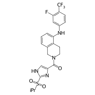 CC(C)S(=O)(=O)c1nc(C(=O)N2CCc3c(cccc3Nc3ccc(C(F)(F)F)c(F)c3)C2)c[nH]1